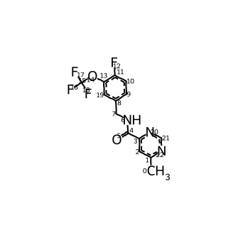 Cc1cc(C(=O)NCc2ccc(F)c(OC(F)(F)F)c2)ncn1